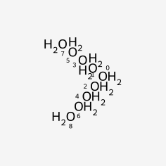 O.O.O.O.O.O.O.O.O